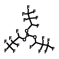 FC(OB(OC(F)C(F)(F)C(F)(F)F)OC(F)C(F)(F)C(F)(F)F)C(F)(F)C(F)(F)F